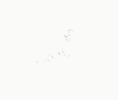 COc1ccc(CN/C(=C\C=O)OCCNC(=O)OC(C)(C)C)cc1